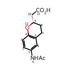 CC(=O)Nc1ccc2c(c1)CC[C@@H](CC(=O)O)O2